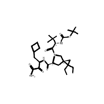 CCC1(CC)C[C@]12C[C@@H](C(=O)NC(CC1CCC1)C(=O)C(N)=O)N(C(=O)[C@@H](NC(=O)OC(C)(C)C)C(C)(C)C)C2